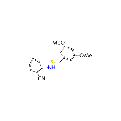 COc1cc(CSNc2ccccc2C#N)cc(OC)c1